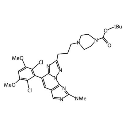 CNc1ncc2cc(-c3c(Cl)c(OC)cc(OC)c3Cl)c3nc(CCCN4CCN(C(=O)OC(C)(C)C)CC4)nn3c2n1